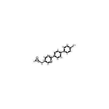 Fc1ccc(-c2ccc(-c3ncc(CC4CO4)cn3)cc2)cc1